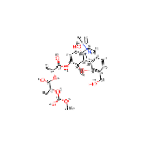 C[C@H](OC(=O)OC(C)(C)C)C(=O)O[C@@H](C)C(=O)OC1=CC[C@@]2(O)[C@H]3Cc4ccc(CO)c5c4[C@@]2(CCN3C)[C@H]1O5